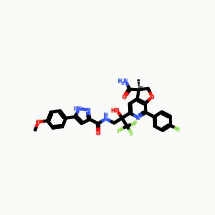 COc1ccc(-c2cc(C(=O)NCC(O)(c3cc4c(c(-c5ccc(F)cc5)n3)OC[C@]4(C)C(N)=O)C(F)(F)F)n[nH]2)cc1